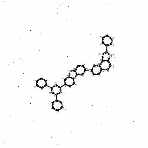 c1ccc(-c2nc(-c3ccccc3)nc(-c3ccc4c(c3)sc3ccc(-c5ccc6ccc7nc(-c8ccccc8)sc7c6c5)cc34)n2)cc1